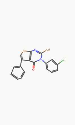 O=c1c2c(-c3ccccc3)csc2nc(S)n1-c1cccc(Cl)c1